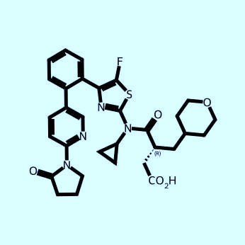 O=C(O)C[C@@H](CC1CCOCC1)C(=O)N(c1nc(-c2ccccc2-c2ccc(N3CCCC3=O)nc2)c(F)s1)C1CC1